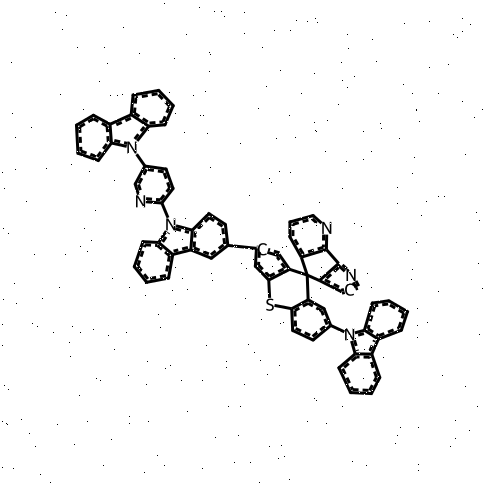 c1cnc2c(c1)C1(c3ccc(-c4ccc5c(c4)c4ccccc4n5-c4ccc(-n5c6ccccc6c6ccccc65)cn4)cc3Sc3ccc(-n4c5ccccc5c5ccccc54)cc31)c1cccnc1-2